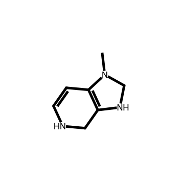 CN1CNC2=C1C=CNC2